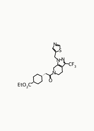 CCOC(=O)[C@H]1CC[C@H](CC(=O)N2CCc3c(C(F)(F)F)nn(Cc4cncs4)c3C2)CC1